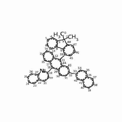 CC1(C)c2ccccc2-c2c(-c3c4ccccc4c(-c4ccc5ccccc5n4)c4ccc(-c5ccc6ccccc6c5)cc34)cccc21